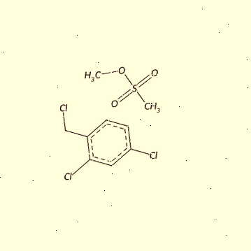 COS(C)(=O)=O.ClCc1ccc(Cl)cc1Cl